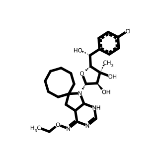 CCO/N=C1/N=CNC2C1CC1(CCCCCCC1)N2[C@@H]1O[C@H]([C@H](O)c2ccc(Cl)cc2)[C@@](C)(O)[C@H]1O